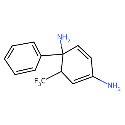 NC1=CC(C(F)(F)F)C(N)(c2ccccc2)C=C1